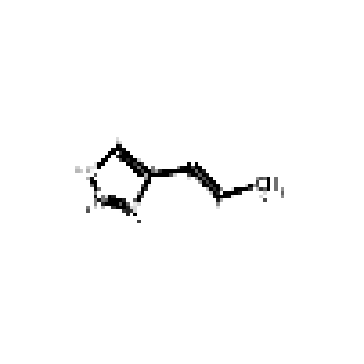 C/C=[C]/c1csnn1